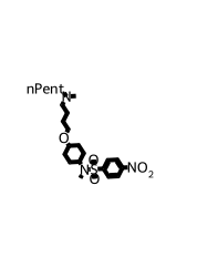 CCCCCN(C)CCCCOC1CCC(N(C)S(=O)(=O)c2ccc([N+](=O)[O-])cc2)CC1